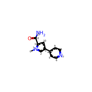 Cn1cc(-c2ccncc2)cc1C(N)=O